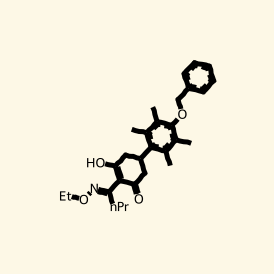 CCC/C(=N\OCC)C1=C(O)CC(c2c(C)c(C)c(OCc3ccccc3)c(C)c2C)CC1=O